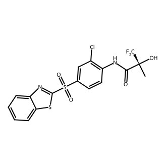 C[C@@](O)(C(=O)Nc1ccc(S(=O)(=O)c2nc3ccccc3s2)cc1Cl)C(F)(F)F